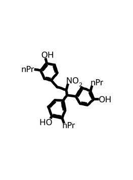 CCCc1cc(CC(C(c2ccc(O)c(CCC)c2)c2ccc(O)c(CCC)c2)[N+](=O)[O-])ccc1O